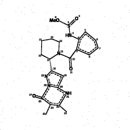 COS(=O)Nc1ccccc1C(=O)N1CCCC[C@H]1c1cc2[nH]c(C)c(C)c(=O)n2n1